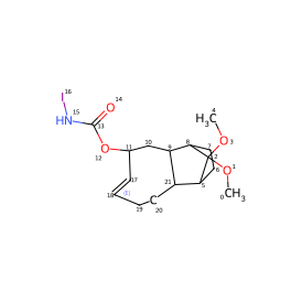 COC1(OC)C2CCC1C1CC(OC(=O)NI)/C=C/CCC12